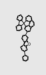 c1ccc(-c2ccc3c(c2)oc2cc(-c4cc5c6c(ccc7cccc(c76)C56c5ccccc5-c5ccccc56)c4)ccc23)cc1